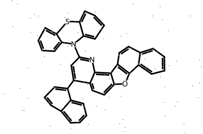 c1ccc2c(c1)Sc1ccccc1N2c1cc(-c2cccc3ccccc23)c2ccc3oc4c5ccccc5ccc4c3c2n1